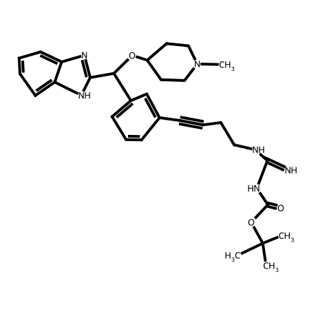 CN1CCC(OC(c2cccc(C#CCCNC(=N)NC(=O)OC(C)(C)C)c2)c2nc3ccccc3[nH]2)CC1